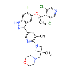 C[C@@H](Oc1cc2c(-c3cnc(N4CC(C)(CN5CCOCC5)C4)c(C#N)c3)n[nH]c2cc1F)c1c(Cl)cncc1Cl